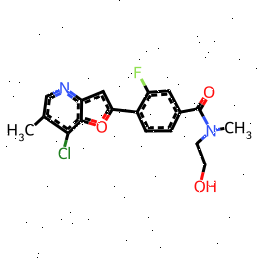 Cc1cnc2cc(-c3ccc(C(=O)N(C)CCO)cc3F)oc2c1Cl